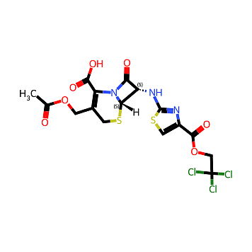 CC(=O)OCC1=C(C(=O)O)N2C(=O)[C@H](Nc3nc(C(=O)OCC(Cl)(Cl)Cl)cs3)[C@@H]2SC1